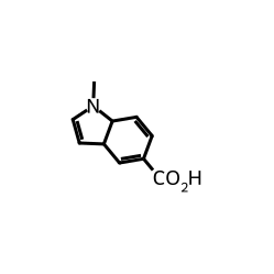 CN1C=CC2C=C(C(=O)O)C=CC21